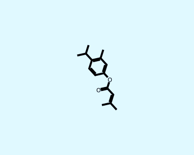 CC(C)=CC(=O)Oc1ccc(C(C)C)c(C)c1